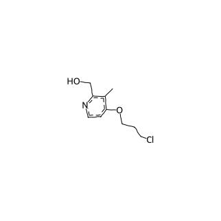 Cc1c(OCCCCl)ccnc1CO